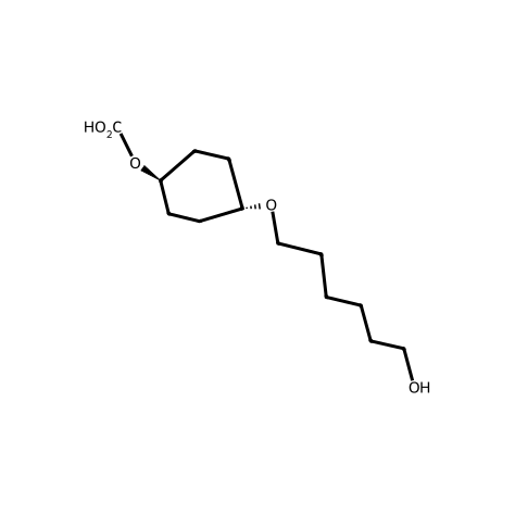 O=C(O)O[C@H]1CC[C@H](OCCCCCCO)CC1